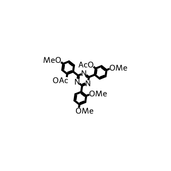 COc1ccc(-c2nc(-c3ccc(OC)cc3OC(C)=O)nc(-c3ccc(OC)cc3OC(C)=O)n2)c(OC)c1